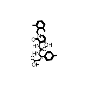 Cc1ccc([C@H](CC(=O)O)NC(=O)Nc2c(O)ccn(Cc3c(C)cccc3C)c2=O)cc1